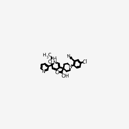 CCOC1(c2cccnc2)C=CC(C2(C(=O)O)CCN(c3ccc(Cl)cc3C#N)CC2)=CN1